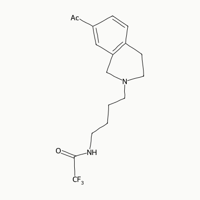 CC(=O)c1ccc2c(c1)CN(CCCCNC(=O)C(F)(F)F)CC2